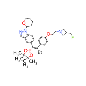 CCC(=C(B1OC(C)(C)C(C)(C)O1)c1ccc2c(cnn2C2CCCCO2)c1)c1ccc(OCCN2CC(CF)C2)cc1